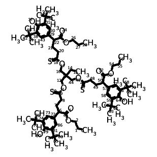 CCCOC(=O)C(CCC(=S)OCC(CC)(COC(=S)CCC(C(=O)OCCC)c1cc(C(C)(C)C)c(O)c(C(C)(C)C)c1)COC(=S)CCC(C(=O)OCCC)c1cc(C(C)(C)C)c(O)c(C(C)(C)C)c1)c1cc(C(C)(C)C)c(O)c(C(C)(C)C)c1